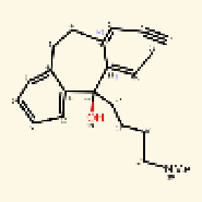 C#C/C=C1/CCc2ccccc2C(O)(CCCCNC)/C1=C/C